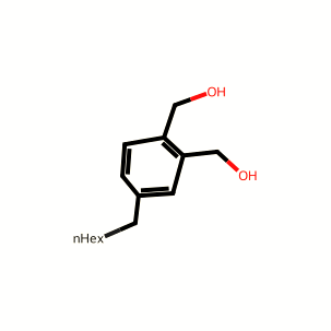 CCCCCCCc1ccc(CO)c(CO)c1